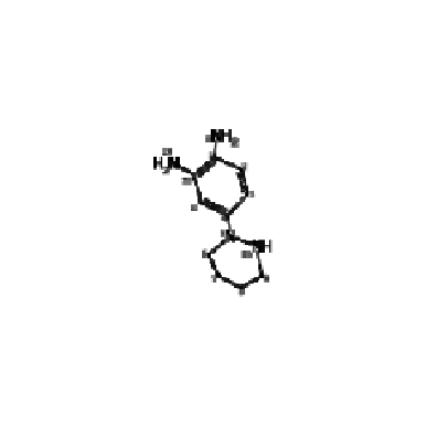 Nc1ccc(N2CCCCN2)cc1N